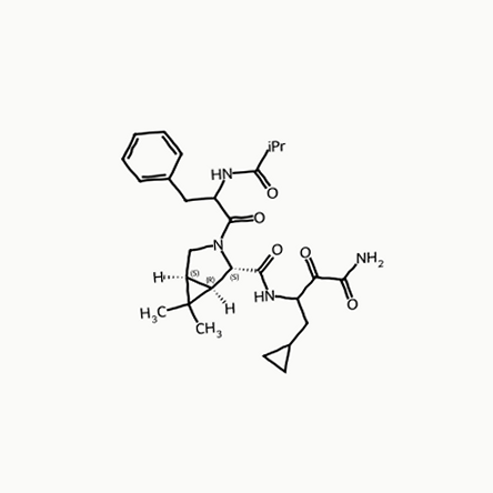 CC(C)C(=O)NC(Cc1ccccc1)C(=O)N1C[C@H]2[C@@H]([C@H]1C(=O)NC(CC1CC1)C(=O)C(N)=O)C2(C)C